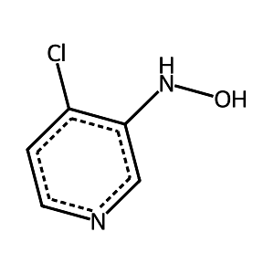 ONc1cnccc1Cl